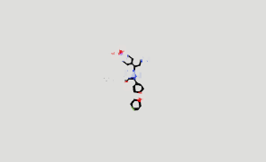 COC(=O)C1=C(c2ccc(Oc3ccc(F)cc3)cc2)NC(C(CCN)C2CCN(C(=O)OC(C)(C)C)CC2)N1